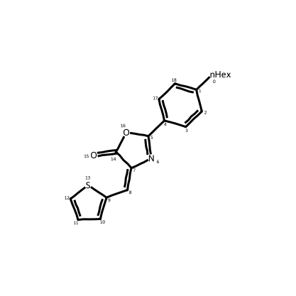 CCCCCCc1ccc(C2=NC(=Cc3cccs3)C(=O)O2)cc1